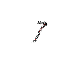 COC(=O)C(N=[N+]=[N-])OCCOCCOCCOCCOCCOCCOCCOCCOCCOCCOCCOCCO